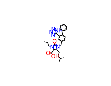 CCCn1c(C(=O)O)c(CCC(C)C)n(Cc2ccc(-c3ccccc3)c(-c3nnn[nH]3)c2)c1=O